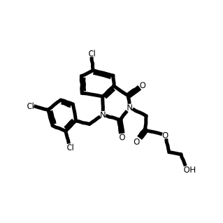 O=C(Cn1c(=O)c2cc(Cl)ccc2n(Cc2ccc(Cl)cc2Cl)c1=O)OCCO